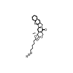 CC[C@@]1(OC(=O)CCCCCN=[N+]=[N-])C(=O)OCc2c1cc1n(c2=O)Cc2cc3ccccc3nc2-1